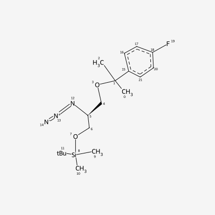 CC(C)(OC[C@@H](CO[Si](C)(C)C(C)(C)C)N=[N+]=[N-])c1ccc(F)cc1